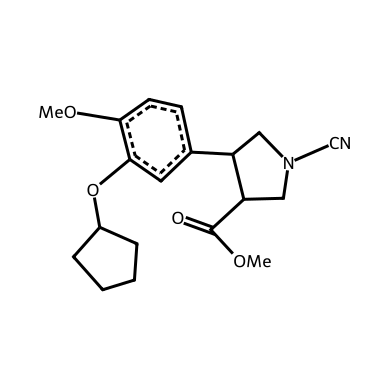 COC(=O)C1CN(C#N)CC1c1ccc(OC)c(OC2CCCC2)c1